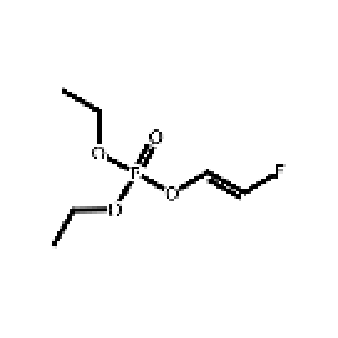 CCOP(=O)(OC=CF)OCC